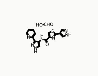 O=C(Nc1c[nH]nc1-c1ccccn1)c1csc(-c2cn[nH]c2)n1.O=CO